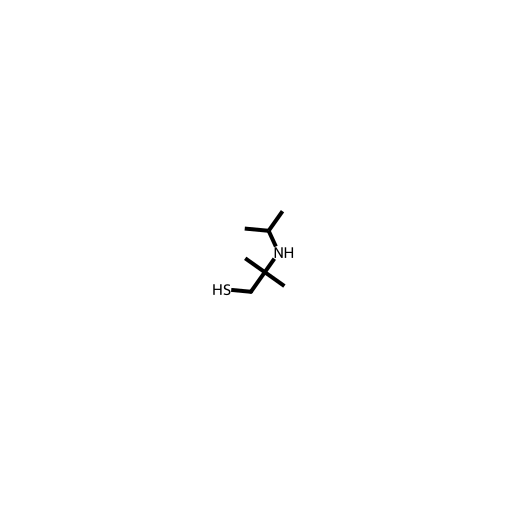 CC(C)NC(C)(C)CS